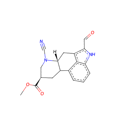 COC(=O)[C@@H]1CC2c3cccc4[nH]c(C=O)c(c34)C[C@H]2N(C#N)C1